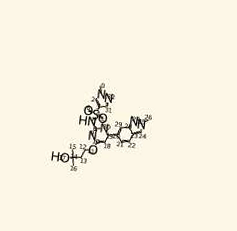 Cn1cc(S(=O)(=O)Nc2nc(OCCC(C)(C)O)cc(-c3ccc4cn(C)nc4c3)n2)cn1